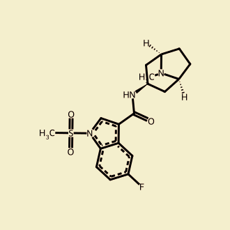 CN1[C@@H]2CC[C@H]1C[C@@H](NC(=O)c1cn(S(C)(=O)=O)c3ccc(F)cc13)C2